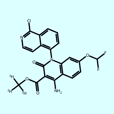 [2H]C([2H])([2H])OC(=O)c1c(N)c2ccc(OC(F)F)cc2n(-c2cccc3c(Cl)nccc23)c1=O